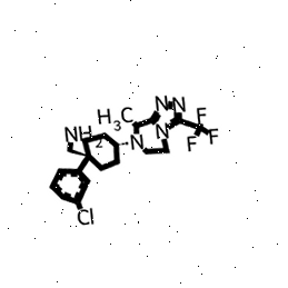 CC1c2nnc(C(F)(F)F)n2CCN1[C@H]1CC[C@@](CN)(c2cccc(Cl)c2)CC1